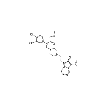 C=C(C)n1c(=O)n(CCN2CCC(CN(C(=O)COC)c3ccc(Cl)c(Cl)c3)CC2)c2ccccc21